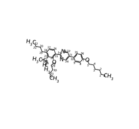 CCCCCCOc1ccc(-c2cnc(-c3ccc(CCCC)c([SiH](C)C)c3OCCCC)nc2)cc1